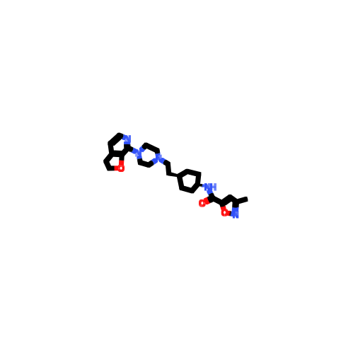 Cc1cc(C(=O)N[C@H]2CC[C@H](CCN3CCN(c4nccc5c4OCC5)CC3)CC2)on1